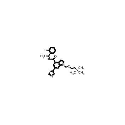 CC(NC(=O)c1cc(-c2cncs2)cc2c1ccn2COCC[Si](C)(C)C)c1ccccc1F